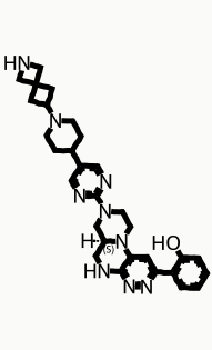 Oc1ccccc1-c1cc2c(nn1)NC[C@H]1CN(c3ncc(C4CCN(C5CC6(CNC6)C5)CC4)cn3)CCN21